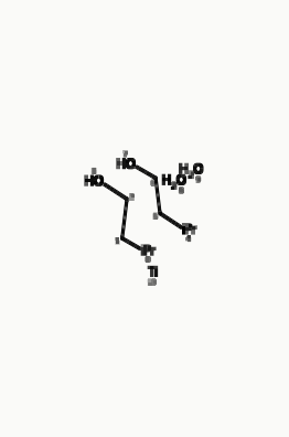 CC(C)CCO.CC(C)CCO.O.O.[Ti]